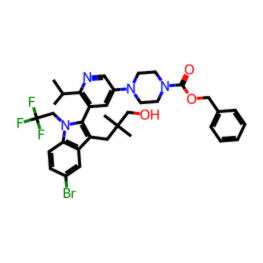 CC(C)c1ncc(N2CCN(C(=O)OCc3ccccc3)CC2)cc1-c1c(CC(C)(C)CO)c2cc(Br)ccc2n1CC(F)(F)F